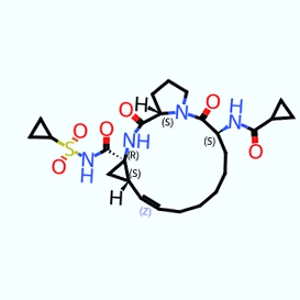 O=C(N[C@H]1CCCCC/C=C\[C@@H]2C[C@@]2(C(=O)NS(=O)(=O)C2CC2)NC(=O)[C@@H]2CCCN2C1=O)C1CC1